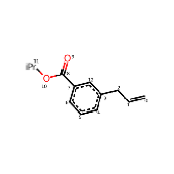 C=CCc1[c]ccc(C(=O)OC(C)C)c1